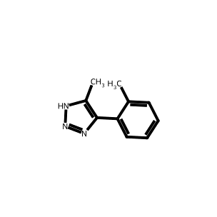 Cc1ccccc1-c1nn[nH]c1C